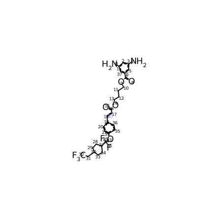 Nc1cc(N)cc(C(=O)OCCCCOC(=O)/C=C/c2ccc(OC(F)(F)C3CCC(CC(F)(F)F)CC3)cc2)c1